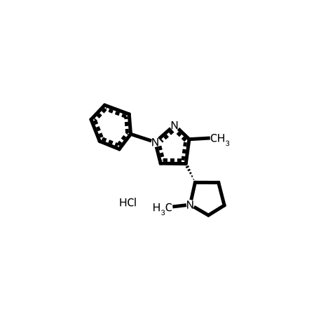 Cc1nn(-c2ccccc2)cc1[C@@H]1CCCN1C.Cl